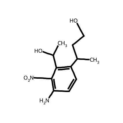 CC(O)c1c(C(C)CCO)ccc(N)c1[N+](=O)[O-]